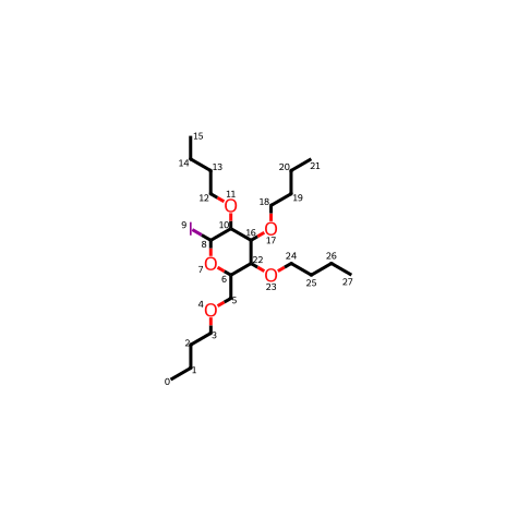 CCCCOCC1OC(I)C(OCCCC)C(OCCCC)C1OCCCC